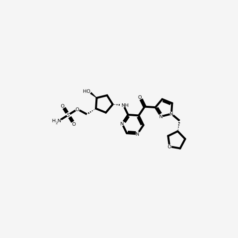 NS(=O)(=O)OC[C@H]1C[C@@H](Nc2ncncc2C(=O)c2ccn(C[C@@H]3CCOC3)n2)C[C@@H]1O